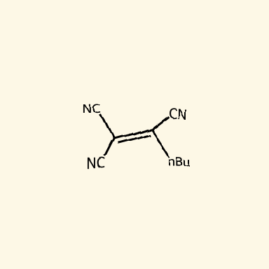 CCCCC(C#N)=C(C#N)C#N